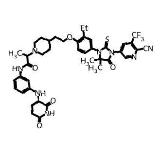 CCc1cc(N2C(=S)N(c3cnc(C#N)c(C(F)(F)F)c3)C(=O)C2(C)C)ccc1OCCC1CCN(C(C)C(=O)Nc2cccc(N[C@@H]3CCC(=O)NC3=O)c2)CC1